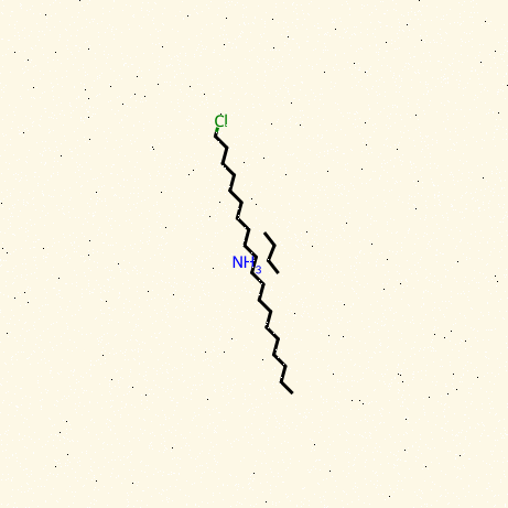 CCCC.CCCCCCCCCCCCCCCCCCCCCl.N